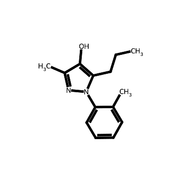 CCCc1c(O)c(C)nn1-c1ccccc1C